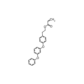 C=CC(=O)OCCc1ccc(Oc2cccc(Oc3ccccc3)c2)cc1